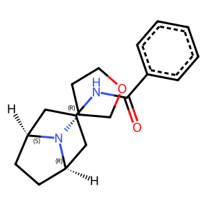 O=C(NC1C[C@H]2CC[C@@H](C1)N2[C@@H]1CCOC1)c1ccccc1